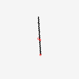 CCCCCCCCCCCCCCCCCCCCCCC(=O)OCCCCCCCCCCCCC[C]=O